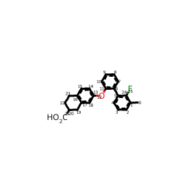 Cc1cccc(-c2ccccc2Oc2ccc3c(c2)CC(C(=O)O)CC3)c1F